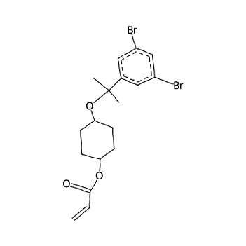 C=CC(=O)OC1CCC(OC(C)(C)c2cc(Br)cc(Br)c2)CC1